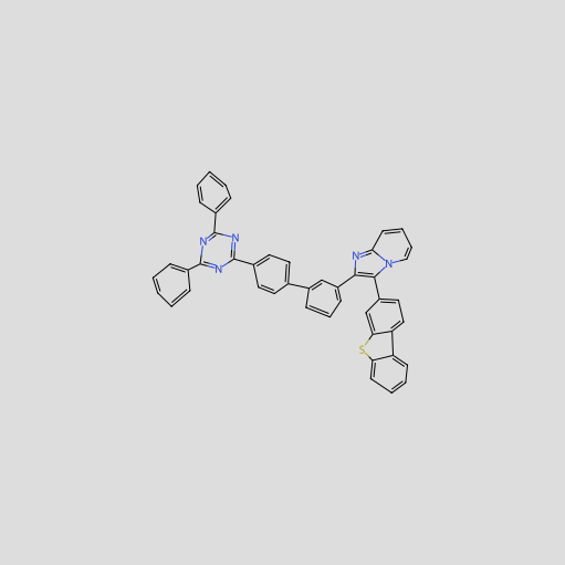 c1ccc(-c2nc(-c3ccccc3)nc(-c3ccc(-c4cccc(-c5nc6ccccn6c5-c5ccc6c(c5)sc5ccccc56)c4)cc3)n2)cc1